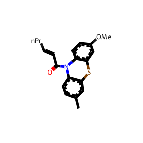 CCCC=CC(=O)N1c2ccc(C)cc2Sc2cc(OC)ccc21